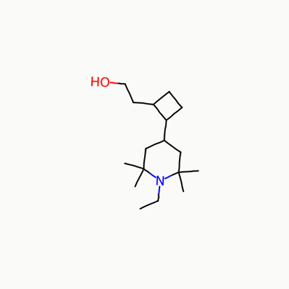 CCN1C(C)(C)CC(C2CCC2CCO)CC1(C)C